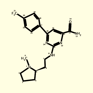 CN1CCC[C@@H]1CCNc1nc(C(N)=O)cc(-c2ccc(C(F)(F)F)cc2)n1